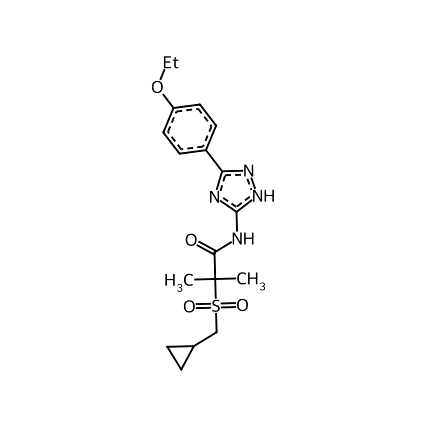 CCOc1ccc(-c2n[nH]c(NC(=O)C(C)(C)S(=O)(=O)CC3CC3)n2)cc1